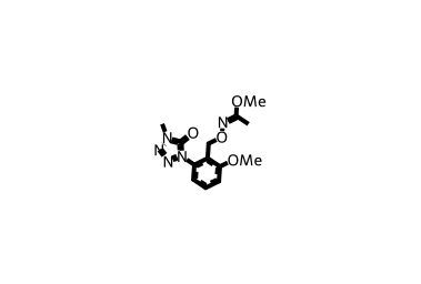 COC(C)=NOCc1c(OC)cccc1-n1nnn(C)c1=O